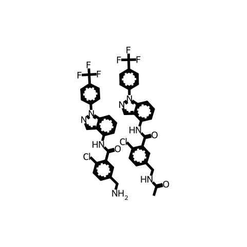 CC(=O)NCc1ccc(Cl)c(C(=O)Nc2cccc3c2cnn3-c2ccc(C(F)(F)F)cc2)c1.NCc1ccc(Cl)c(C(=O)Nc2cccc3c2cnn3-c2ccc(C(F)(F)F)cc2)c1